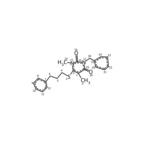 Cc1c(SCCCc2ccccc2)n(C)c(=O)n(Cc2ccccc2)c1=O